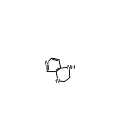 c1cc2c(cn1)[N]CCN2